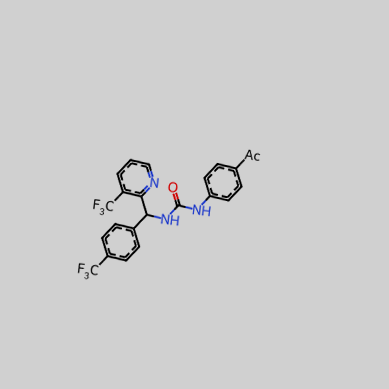 CC(=O)c1ccc(NC(=O)NC(c2ccc(C(F)(F)F)cc2)c2ncccc2C(F)(F)F)cc1